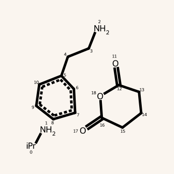 CC(C)N.NCCc1ccccc1.O=C1CCCC(=O)O1